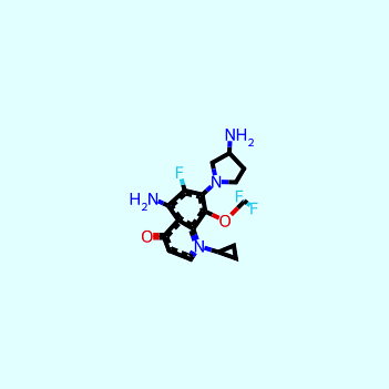 Nc1c(F)c(N2CCC(N)C2)c(OC(F)F)c2c1c(=O)ccn2C1CC1